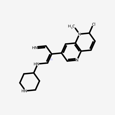 CN1c2cc(/C(C=N)=C/NC3CCNCC3)cnc2C=CC1Cl